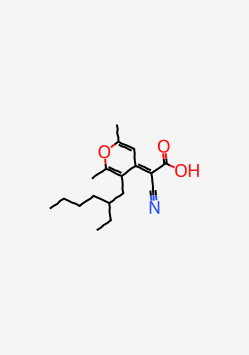 CCCCC(CC)CC1=C(C)OC(C)=CC1=C(C#N)C(=O)O